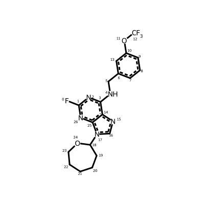 Fc1nc(NCc2cccc(OC(F)(F)F)c2)c2ncn(C3CCCCCO3)c2n1